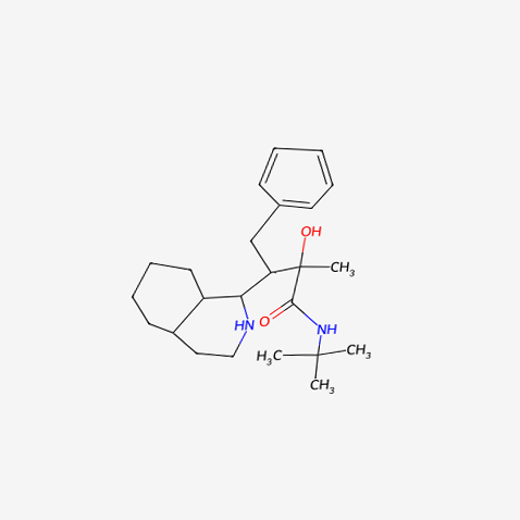 CC(C)(C)NC(=O)C(C)(O)[C](Cc1ccccc1)C1NCCC2CCCCC21